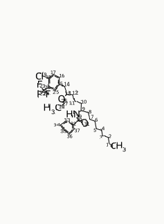 CCCCCCCCCC(CCCC(Cc1ccc(Cl)c(C(F)(F)F)c1)OCC)NC(=O)c1ccccc1